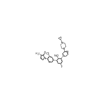 Cn1ccn(-c2ccc(-c3cc(F)cc(-c4ccnc(N5CCN(C6CC6)CC5)c4)c3O)cc2Cl)c1=O